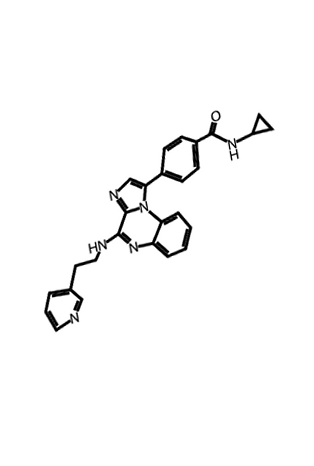 O=C(NC1CC1)c1ccc(-c2cnc3c(NCCc4cccnc4)nc4ccccc4n23)cc1